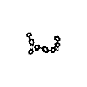 C1=CC(N(c2ccccc2)c2ccc(-c3ccc(-c4ccc5oc6ccc(-c7ccccc7)cc6c5c4)cc3)cc2)CC=C1c1ccccc1